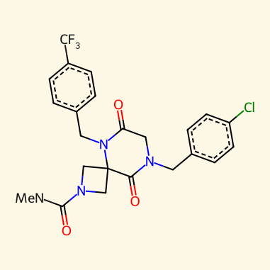 CNC(=O)N1CC2(C1)C(=O)N(Cc1ccc(Cl)cc1)CC(=O)N2Cc1ccc(C(F)(F)F)cc1